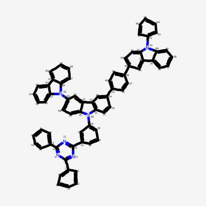 c1ccc(-c2nc(-c3ccccc3)nc(-c3cccc(-n4c5ccc(-c6ccc(-c7ccc8c(c7)c7ccccc7n8-c7ccccc7)cc6)cc5c5cc(-n6c7ccccc7c7ccccc76)ccc54)c3)n2)cc1